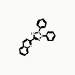 c1ccc(N2N=C(c3ccc4ccccc4n3)NN2c2ccccc2)cc1